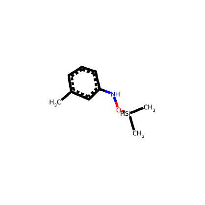 Cc1cccc(NO[SiH](C)C)c1